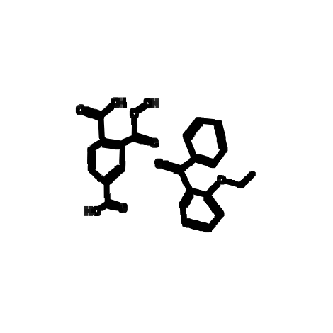 CCOc1ccccc1C(=O)c1ccccc1.O=C(O)c1ccc(C(=O)O)c(C(=O)OO)c1